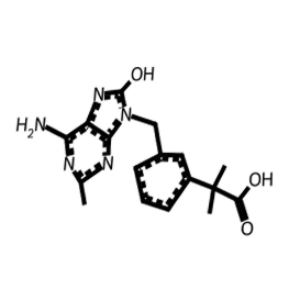 Cc1nc(N)c2nc(O)n(Cc3cccc(C(C)(C)C(=O)O)c3)c2n1